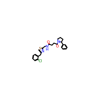 O=C(CCC(=O)N1CCCC1c1ccccc1)NCc1nc(Cc2ccccc2Cl)cs1